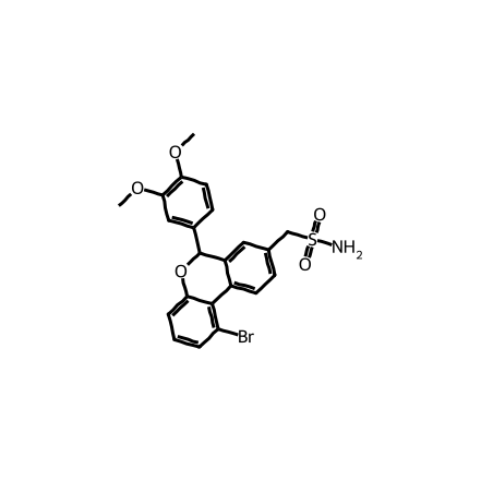 COc1ccc(C2Oc3cccc(Br)c3-c3ccc(CS(N)(=O)=O)cc32)cc1OC